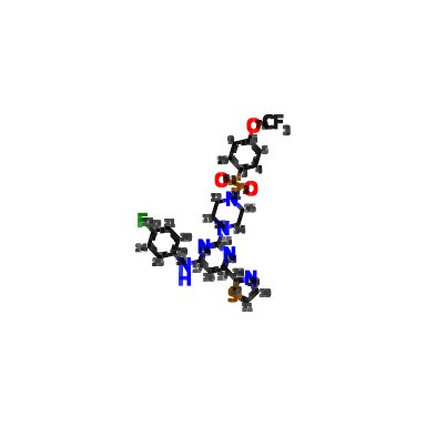 O=S(=O)(c1ccc(OC(F)(F)F)cc1)N1CCN(c2nc(Nc3ccc(F)cc3)cc(-c3nccs3)n2)CC1